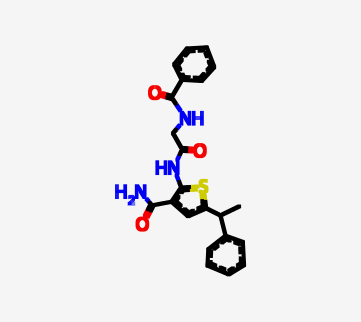 CC(c1ccccc1)c1cc(C(N)=O)c(NC(=O)CNC(=O)c2ccccc2)s1